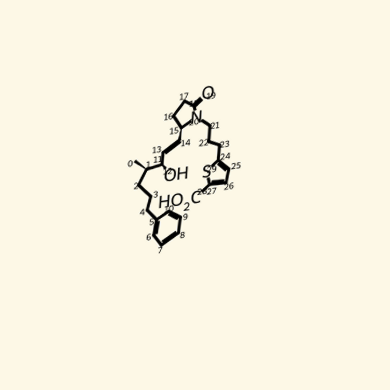 C[C@H](CCCc1ccccc1)[C@H](O)C=C[C@H]1CCC(=O)N1CCCc1ccc(C(=O)O)s1